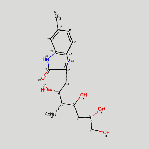 CC(=O)N[C@@H](C(O)C[C@H](O)CO)[C@H](O)Cc1nc2ccc(C(F)(F)F)cc2[nH]c1=O